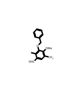 COc1c(C)cc(C=O)c(I)c1OCc1ccccc1